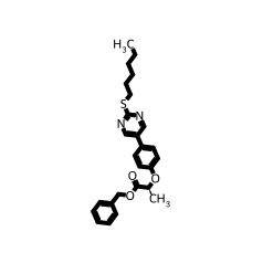 CCCCCCSc1ncc(-c2ccc(O[C@H](C)C(=O)OCc3ccccc3)cc2)cn1